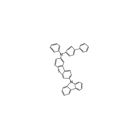 c1ccc(-c2ccc(N(c3ccccc3)c3ccc4sc5cc(-n6c7ccccc7c7ccccc76)ccc5c4c3)cc2)cc1